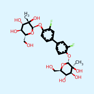 C[C@@]1(O)[C@@H](Oc2ccc(-c3ccc(O[C@H]4O[C@H](CO)[C@@H](O)[C@H](O)[C@]4(C)O)c(F)c3)cc2F)O[C@H](CO)[C@@H](O)[C@@H]1O